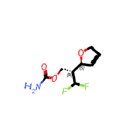 NC(=O)OC[C@@H](C(F)F)[C@@H]1C=CCO1